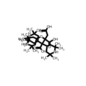 CC1(C)CC(OC(CC(=O)O)(C(=O)O)C(C(=O)O)(C2CC(C)(C)NC(C)(C)C2)C2CC(C)(C)NC(C)(C)C2)CC(C)(C)N1